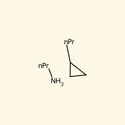 CCCC1CC1.CCCN